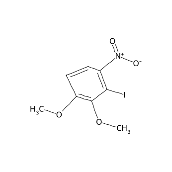 COc1ccc([N+](=O)[O-])c(I)c1OC